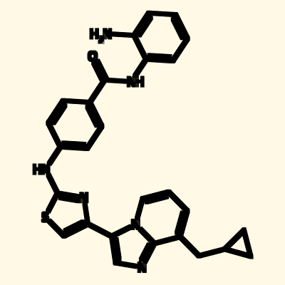 Nc1ccccc1NC(=O)c1ccc(Nc2nc(-c3cnc4c(CC5CC5)cccn34)cs2)cc1